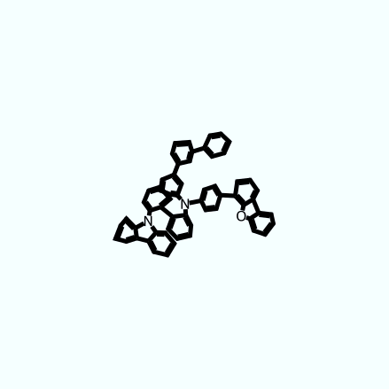 c1ccc(-c2cccc(-c3cccc(N(c4ccc(-c5cccc6c5oc5ccccc56)cc4)c4ccccc4-c4ccccc4-n4c5ccccc5c5ccccc54)c3)c2)cc1